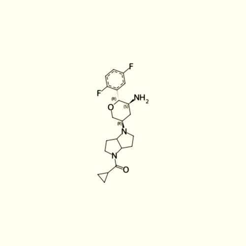 N[C@H]1C[C@@H](N2CCC3C2CCN3C(=O)C2CC2)CO[C@@H]1c1cc(F)ccc1F